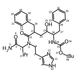 CC(C)C(C(N)=O)N(CCc1c[nH]cn1)C(=O)C(Cc1ccccc1)CC(O)C(Cc1ccccc1)NC(=O)OC(C)(C)C